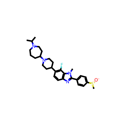 CC(C)N1CCCC(N2CCC(c3ccc4nc(-c5ccc([S+](C)[O-])cc5)n(C)c4c3F)CC2)CC1